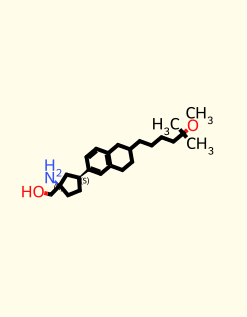 COC(C)(C)CCCCC1CCc2cc([C@H]3CC[C@](N)(CO)C3)ccc2C1